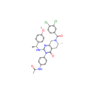 COc1ccc([C@H](C)Nc2nc3c(c(=O)n2-c2ccc(NC(C)=O)cc2)C[C@@H](C)N(C(=O)c2ccc(Cl)c(Cl)c2)C3)cc1